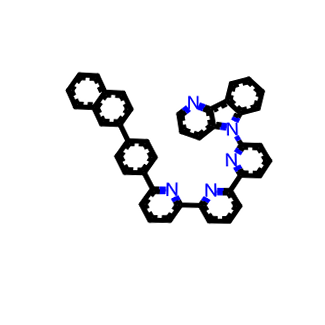 c1cc(-c2ccc(-c3ccc4ccccc4c3)cc2)nc(-c2cccc(-c3cccc(-n4c5ccccc5c5ncccc54)n3)n2)c1